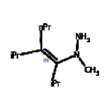 CCC/C(=C(/C(C)C)N(C)N)C(C)C